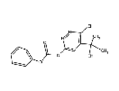 CC(C)(C)c1cc(NC(=O)Oc2ccccc2)nnc1Cl